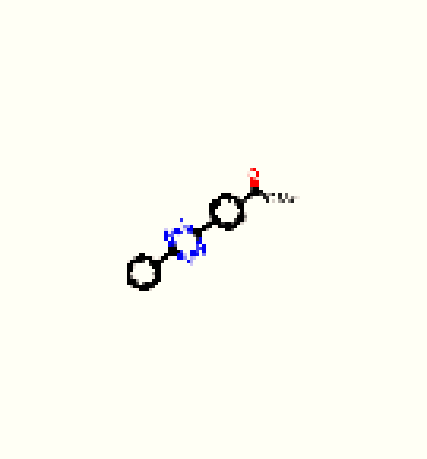 COC(=O)c1ccc(-c2nnc(-c3ccccc3)nn2)cc1